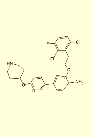 NC1C=CC(c2ccc(OC3CCNCC3)nc2)=CN1OCCc1c(Cl)ccc(F)c1Cl